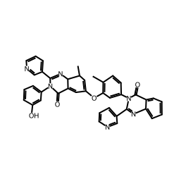 Cc1ccc(-n2c(-c3cccnc3)nc3ccccc3c2=O)cc1OC1=CC(C)C2N=C(c3cccnc3)N(c3cccc(O)c3)C(=O)C2=C1